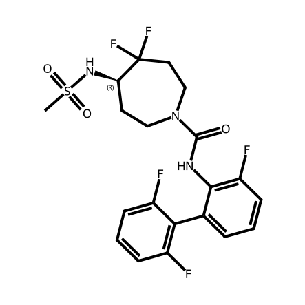 CS(=O)(=O)N[C@@H]1CCN(C(=O)Nc2c(F)cccc2-c2c(F)cccc2F)CCC1(F)F